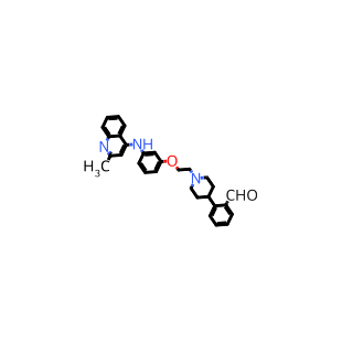 Cc1cc(Nc2cccc(OCCN3CCC(c4ccccc4C=O)CC3)c2)c2ccccc2n1